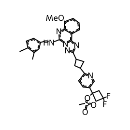 COc1cccc2c1nc(NCc1ccc(C)c(C)c1)n1nc(C3CC(c4ccc(C5(OS(C)(=O)=O)CC(F)(F)C5)cn4)C3)nc21